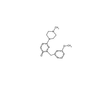 COc1cccc(Cn2nc(N3CCN(C)CC3)ccc2=O)c1